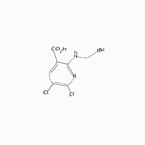 CC(C)(C)CNc1nc(Cl)c(Cl)cc1C(=O)O